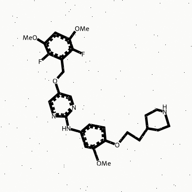 COc1cc(Nc2ncc(OCc3c(F)c(OC)cc(OC)c3F)cn2)ccc1OCCC1CCNCC1